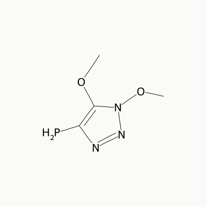 COc1c(P)nnn1OC